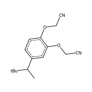 CC(c1ccc(OCC#N)c(OCC#N)c1)C(C)(C)C